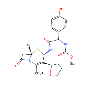 CC(C)(C)OC(=O)NC(C(=O)N[C@@H]1S[C@H]2CC(=O)N2C(C(=O)O)=C1[C@H]1CCCO1)c1ccc(O)cc1